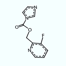 O=C(OCc1ncccc1F)n1ccnc1